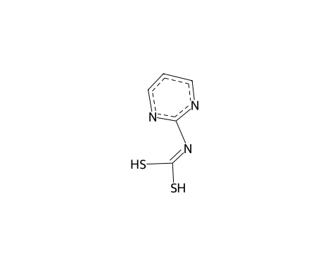 SC(S)=Nc1ncccn1